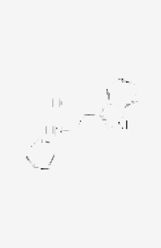 Cl.c1ccc(NCCc2c[nH]c3ccccc23)cc1